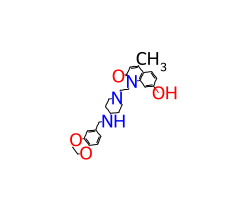 Cc1cc(=O)n(CCN2CCC(NCc3ccc4c(c3)OCCO4)CC2)c2cc(O)ccc12